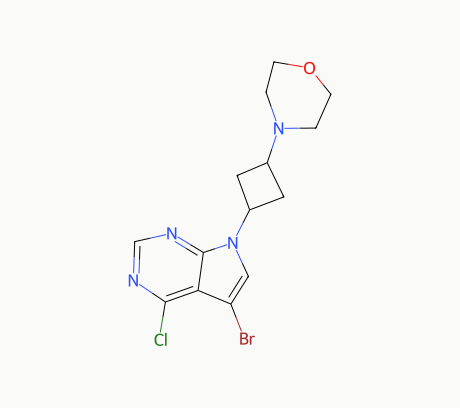 Clc1ncnc2c1c(Br)cn2C1CC(N2CCOCC2)C1